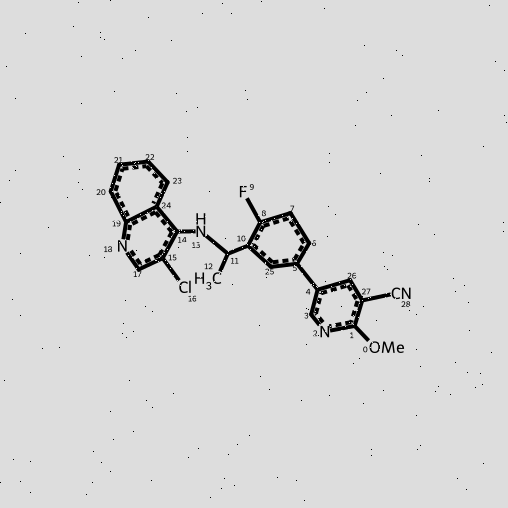 COc1ncc(-c2ccc(F)c(C(C)Nc3c(Cl)cnc4ccccc34)c2)cc1C#N